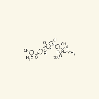 Cc1cc(Cl)ccc1C(=O)N1CCC(O)(Cn2cnc3c(cc(Cl)n3-c3ccc([C@H]4CO[C@H](C)CN4C(=O)OC(C)(C)C)c(C)c3)c2=O)CC1